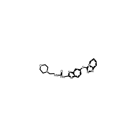 O=C(NCCN1CCOCC1)Nc1nc2ccc(Sc3nnc4ccccn34)cc2s1